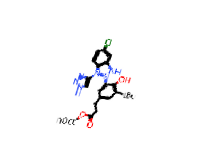 CCCCCCCCOC(=O)CCc1cc(N2Nc3cc(Cl)ccc3N2c2c[nH]nn2)c(O)c(C(C)(C)C)c1